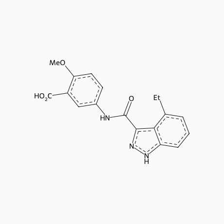 CCc1cccc2[nH]nc(C(=O)Nc3ccc(OC)c(C(=O)O)c3)c12